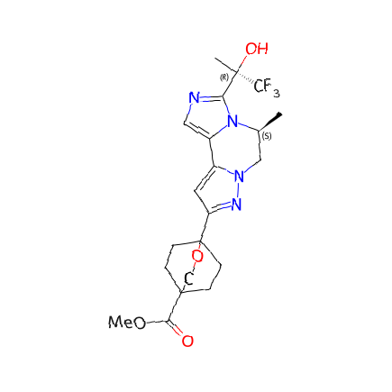 COC(=O)C12CCC(c3cc4n(n3)C[C@H](C)n3c-4cnc3[C@@](C)(O)C(F)(F)F)(CC1)OC2